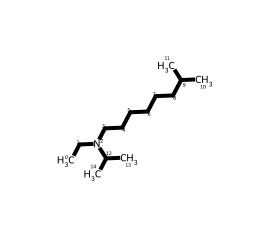 CCN(CCCCCCC(C)C)C(C)C